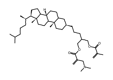 C=C(C)C(=O)OCC(CCC[C@H]1CC[C@@]2(C)C(CC[C@@H]3C2CC[C@@]2(C)C3CC[C@@H]2[C@H](C)CCCC(C)C)C1)COC(=O)C(=C)CN(C)C